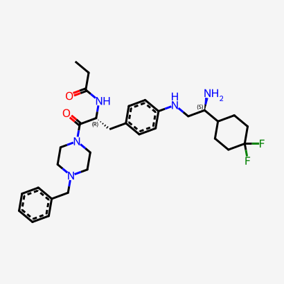 CCC(=O)N[C@H](Cc1ccc(NC[C@@H](N)C2CCC(F)(F)CC2)cc1)C(=O)N1CCN(Cc2ccccc2)CC1